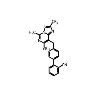 CCCCc1nc(C)n2nc(C(F)(F)F)nc2c1Cc1ccc(-c2ccccc2C#N)cc1